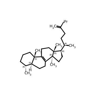 C=C(CC[C@@H](C)[C@H]1CC[C@@]2(C)C3=C(CC[C@]12C)[C@@]1(C)CCC[C@@H](C)[C@@H]1CC3)C(C)C